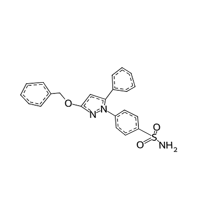 NS(=O)(=O)c1ccc(-n2nc(OCc3ccccc3)cc2-c2ccccc2)cc1